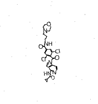 O=C(NCCCN1CCOCC1)c1cc(Cl)c(C(=O)n2ccc3c(NC(=O)C4CC4)nccc32)c(Cl)c1